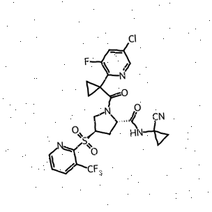 N#CC1(NC(=O)[C@@H]2C[C@@H](S(=O)(=O)c3ncccc3C(F)(F)F)CN2C(=O)C2(c3ncc(Cl)cc3F)CC2)CC1